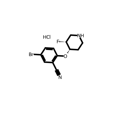 Cl.N#Cc1cc(Br)ccc1O[C@H]1CCNC[C@H]1F